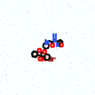 C[N+]1(CC(=O)Nc2ccon2)CCC(OC(=O)C(O)(c2ccccc2)C2CCCCC2)CC1.[Br-]